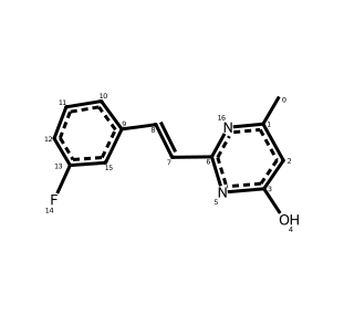 Cc1cc(O)nc(C=Cc2cccc(F)c2)n1